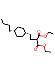 CCCC[C@H]1CC[C@H](CCC(C(=O)OCC)C(=O)OCC)CC1